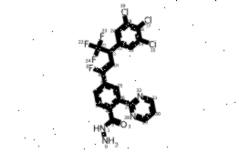 NNC(=O)c1ccc(C(F)=CC(c2cc(Cl)c(Cl)c(Cl)c2)C(F)(F)F)cc1-c1ncccn1